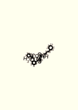 CC(Cc1ccccc1-c1nc(C(=O)NCCCCC2CCCCC2)co1)(C(=O)O)C1CCCC1